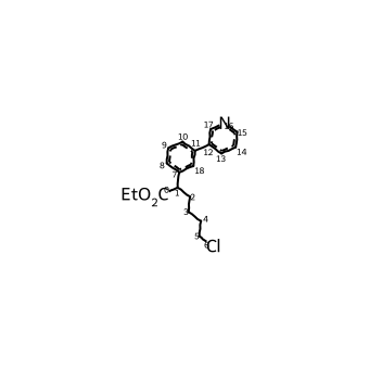 CCOC(=O)C(CCCCCl)c1cccc(-c2cccnc2)c1